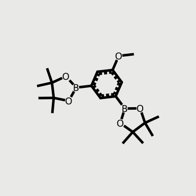 COc1cc(B2OC(C)(C)C(C)(C)O2)cc(B2OC(C)(C)C(C)(C)O2)c1